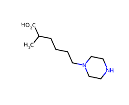 CC(CCCCN1CCNCC1)C(=O)O